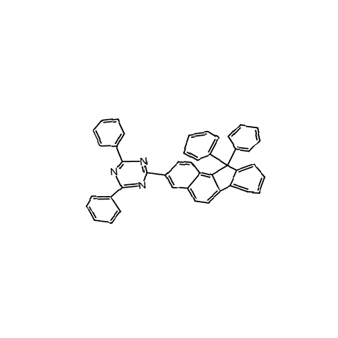 c1ccc(-c2nc(-c3ccccc3)nc(-c3ccc4c5c(ccc4c3)-c3ccccc3C5(c3ccccc3)c3ccccc3)n2)cc1